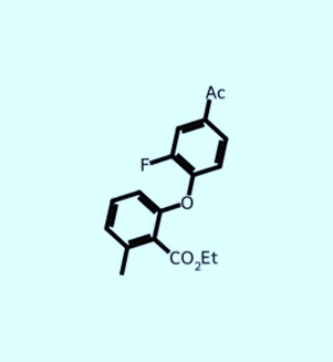 CCOC(=O)c1c(C)cccc1Oc1ccc(C(C)=O)cc1F